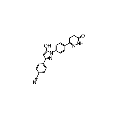 N#Cc1ccc(-c2cc(O)n(-c3ccc(C4=NNC(=O)CC4)cc3)n2)cc1